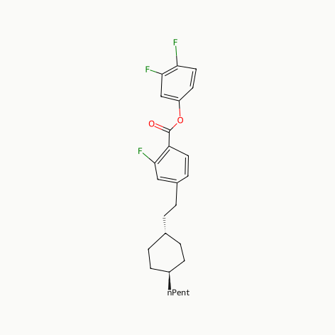 CCCCC[C@H]1CC[C@H](CCc2ccc(C(=O)Oc3ccc(F)c(F)c3)c(F)c2)CC1